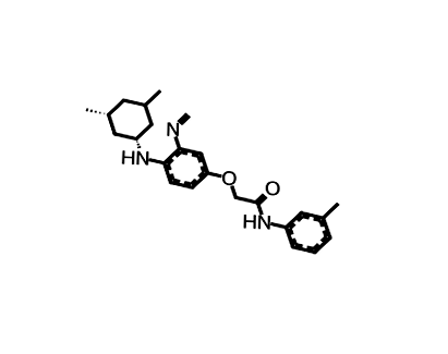 C=Nc1cc(OCC(=O)Nc2cccc(C)c2)ccc1N[C@H]1CC(C)C[C@@H](C)C1